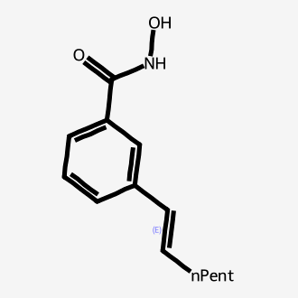 CCCCC/C=C/c1cccc(C(=O)NO)c1